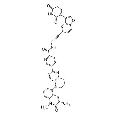 Cc1cc2c(N3CCCc4nc(-c5ccc(C(=O)NCC#Cc6ccc7occ(N8CCC(=O)NC8=O)c7c6)nc5)ncc43)cccc2n(C)c1=O